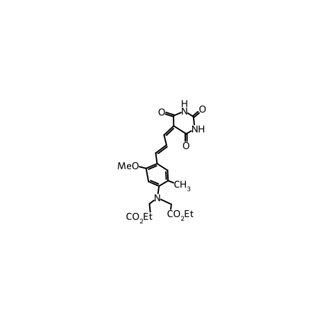 CCOC(=O)CN(CC(=O)OCC)c1cc(OC)c(/C=C/C=C2C(=O)NC(=O)NC2=O)cc1C